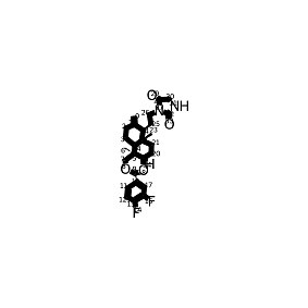 C=C1CCC2[C@]3(C)CO[C@@H](c4ccc(F)c(F)c4)O[C@@H]3CC[C@@]2(C)[C@@H]1CCN1C(=O)CNC1=O